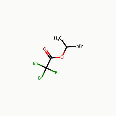 CCCC(C)OC(=O)C(Br)(Br)Br